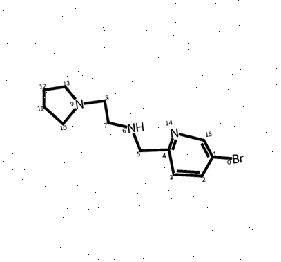 Brc1ccc(CNCCN2CCCC2)nc1